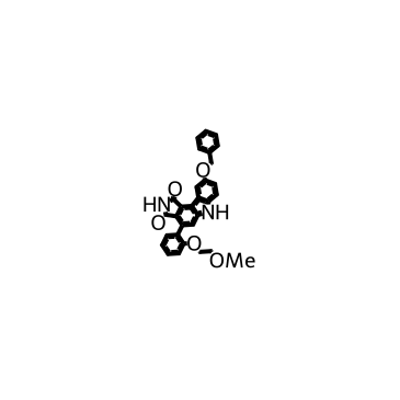 COCCOc1ccccc1-c1cc2[nH]c3ccc(OCc4ccccc4)cc3c2c2c1C(=O)NC2=O